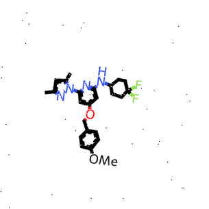 COc1ccc(COc2cc(NC3CCC(F)(F)CC3)nc(-n3nc(C)cc3C)c2)cc1